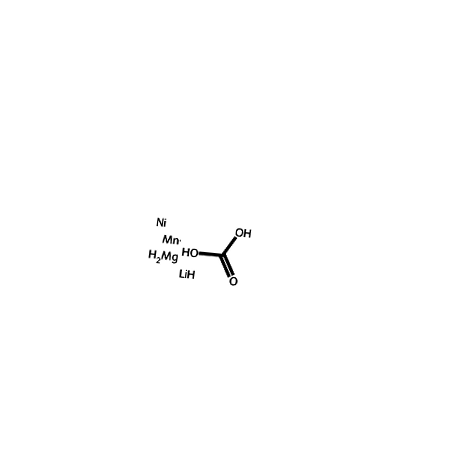 O=C(O)O.[LiH].[MgH2].[Mn].[Ni]